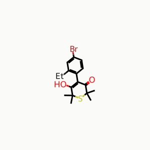 CCc1cc(Br)ccc1C1=C(O)C(C)(C)SC(C)(C)C1=O